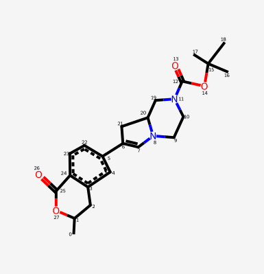 CC1Cc2cc(C3=CN4CCN(C(=O)OC(C)(C)C)CC4C3)ccc2C(=O)O1